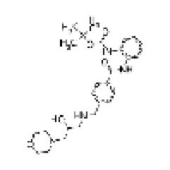 CC(C)(C)OC(=O)Nc1ccccc1NC(=O)c1ccc(CNCC(O)CN2CCOCC2)cc1